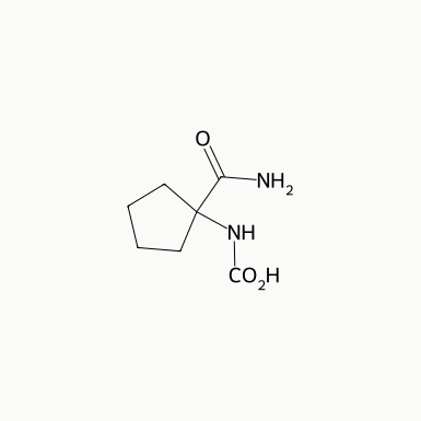 NC(=O)C1(NC(=O)O)CCCC1